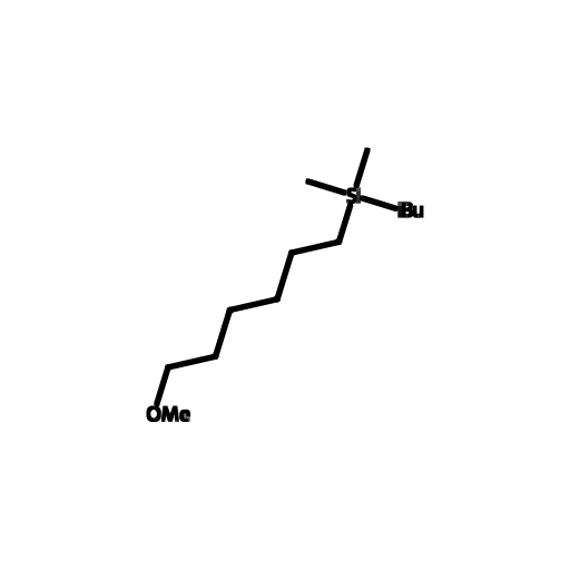 CCC(C)[Si](C)(C)CCCCCCOC